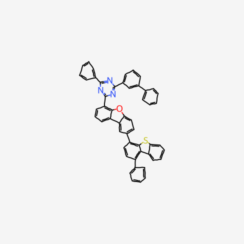 c1ccc(-c2cccc(-c3nc(-c4ccccc4)nc(-c4cccc5c4oc4ccc(-c6ccc(-c7ccccc7)c7c6sc6ccccc67)cc45)n3)c2)cc1